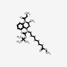 CCC(=O)N1c2ccccc2[C@H](N(CCCCCCCC(=O)OC)C(=O)OC(C)(C)C)C[C@@H]1C